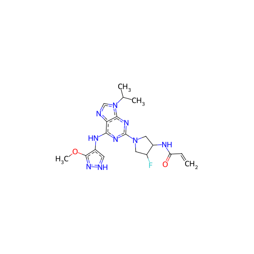 C=CC(=O)NC1CN(c2nc(Nc3c[nH]nc3OC)c3ncn(C(C)C)c3n2)CC1F